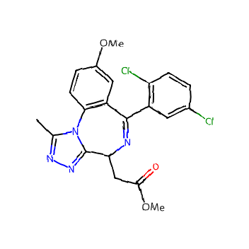 COC(=O)CC1N=C(c2cc(Cl)ccc2Cl)c2cc(OC)ccc2-n2c(C)nnc21